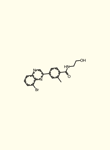 Cc1cc(-c2cnc3cccc(Br)c3n2)ccc1C(=O)NCCO